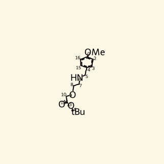 COc1ccc(CNCCOCC(=O)OC(C)(C)C)cc1